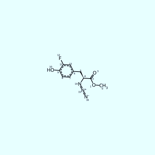 COC(=O)[C@H](Cc1ccc(O)c(F)c1)N=[N+]=[N-]